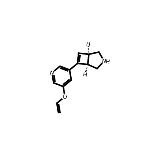 C=COc1cncc(C2=C[C@H]3CNC[C@@H]23)c1